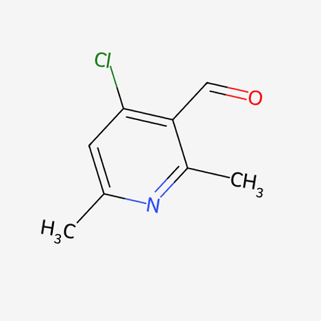 Cc1cc(Cl)c(C=O)c(C)n1